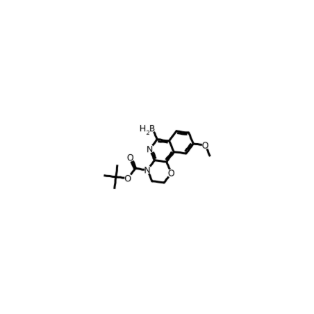 Bc1nc2c(c3cc(OC)ccc13)OCCN2C(=O)OC(C)(C)C